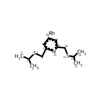 CC(C)SCc1cccc(CSC(C)C)n1.[Rh]